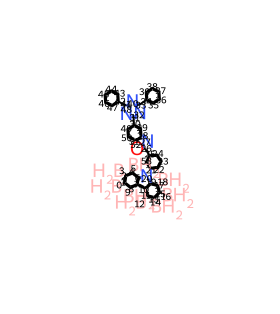 Bc1c(B)c(B)c2c(c1B)c1c(B)c(B)c(B)c(B)c1n2-c1cccc(-c2nc3cc(-c4nc(-c5ccccc5)nc(-c5ccccc5)n4)ccc3o2)c1